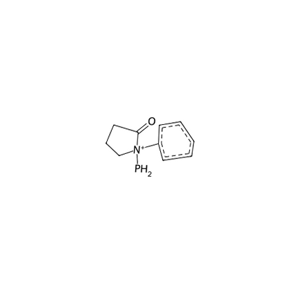 O=C1CCC[N+]1(P)c1ccccc1